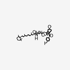 COc1ccc2c(c1)c(CC(=O)NCCNC(=O)/C=C(C)/C=C/C=C(C)/C=C/C1=C(C)CCCC1(C)C)c(C)n2C(=O)c1ccc(CI)cc1